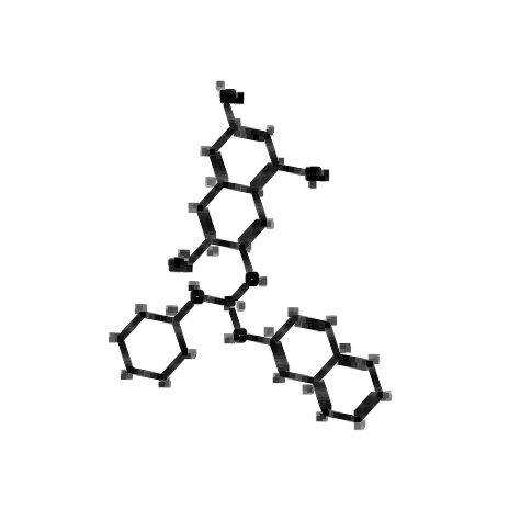 CC(C)(C)c1cc(C(C)(C)C)c2cc(OP(Oc3ccc4ccccc4c3)OC3CCCCC3)c(C(C)(C)C)cc2c1